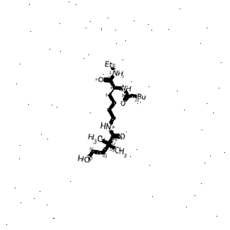 CCNC(=O)[C@H](CCCCNC(=O)C(C)(C)CCO)NC(=O)C(C)CC